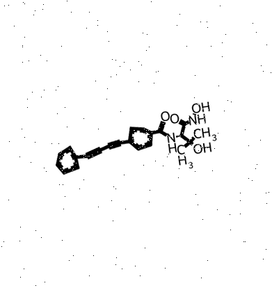 CC(C)(O)[C@H](NC(=O)c1ccc(C#CC#Cc2ccccc2)cc1)C(=O)NO